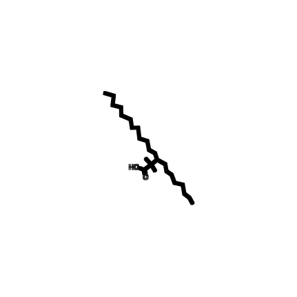 CCCCCCCCCCCCC(CCCCCCCC)C(C)(C)C(=O)O